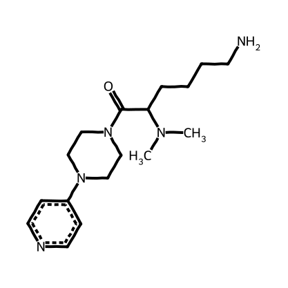 CN(C)C(CCCCN)C(=O)N1CCN(c2ccncc2)CC1